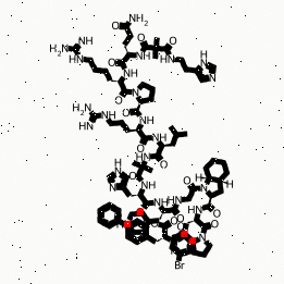 CC(C)C[C@H](NC(=O)[C@@H](CCCNC(=N)N)NC(=O)[C@@H]1CCCN1C(=O)[C@H](CCCCNC(=N)N)NC(=O)[C@H](CCC(N)=O)NC(=O)C(C)(C)C(=O)NCCc1cnc[nH]1)C(=O)NC(C)(C)C(=O)N[C@@H](Cc1c[nH]cn1)C(=O)N[C@@H](CC1CCNCC1)C(=O)NCC(=O)N1[C@H](C(=O)N[C@@H](Cc2ccc(Br)cc2)C(=O)N2CCC[C@H]2C(=O)N[C@H](Cc2ccc(-c3ccccc3)cc2)C(=O)O)C[C@@H]2CCCC[C@@H]21